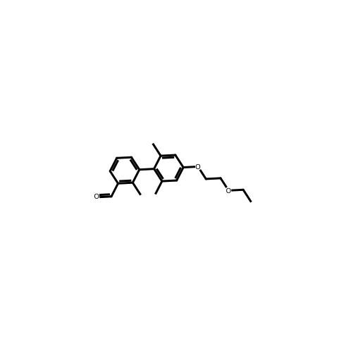 CCOCCOc1cc(C)c(-c2cccc(C=O)c2C)c(C)c1